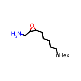 CCCCCCCCCCCC1OC1CN